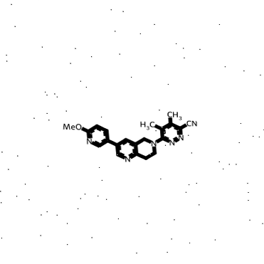 COc1ccc(-c2cnc3c(c2)CN(c2nnc(C#N)c(C)c2C)CC3)cn1